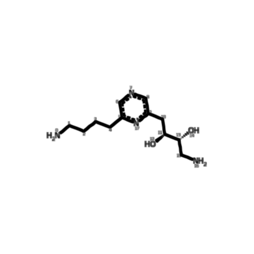 NCCCCc1cncc(C[C@H](O)[C@H](O)CN)n1